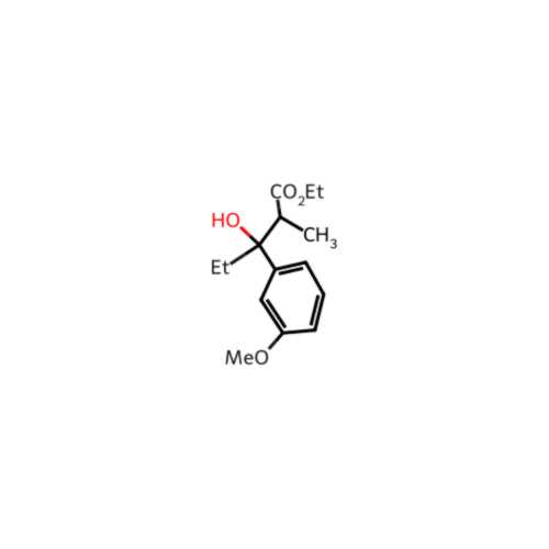 CCOC(=O)C(C)C(O)(CC)c1cccc(OC)c1